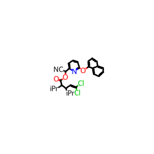 CC(C)C(C=C(Cl)Cl)C(C(=O)OC(C#N)c1cccc(Oc2cccc3ccccc23)n1)C(C)C